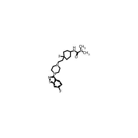 CN(C)C(=O)NC1CCC(F)(CCN2CCN(c3nsc4cc(F)ccc34)CC2)CC1